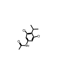 CC(=O)Nc1cc(Cl)c(C(C)C)c(Cl)c1